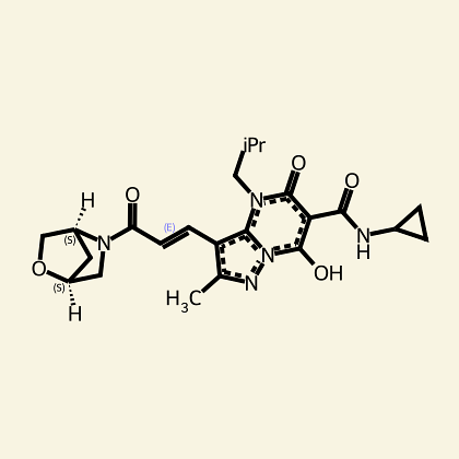 Cc1nn2c(O)c(C(=O)NC3CC3)c(=O)n(CC(C)C)c2c1/C=C/C(=O)N1C[C@@H]2C[C@H]1CO2